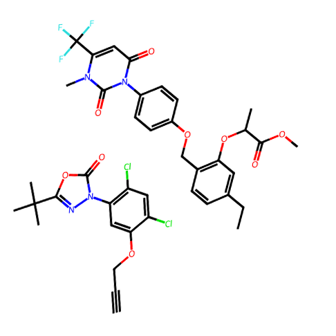 C#CCOc1cc(-n2nc(C(C)(C)C)oc2=O)c(Cl)cc1Cl.CCc1ccc(COc2ccc(-n3c(=O)cc(C(F)(F)F)n(C)c3=O)cc2)c(OC(C)C(=O)OC)c1